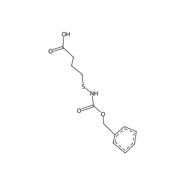 O=C(O)CCCSNC(=O)OCc1ccccc1